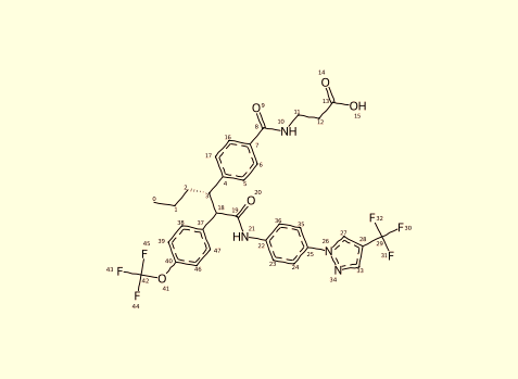 CCC[C@H](c1ccc(C(=O)NCCC(=O)O)cc1)C(C(=O)Nc1ccc(-n2cc(C(F)(F)F)cn2)cc1)c1ccc(OC(F)(F)F)cc1